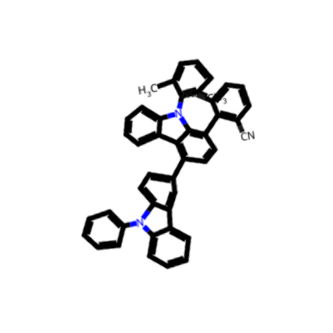 Cc1cccc(C)c1-n1c2ccccc2c2c(-c3ccc4c(c3)c3ccccc3n4-c3ccccc3)ccc(-c3c(C#N)cccc3C#N)c21